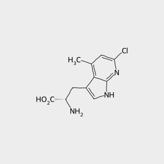 Cc1cc(Cl)nc2[nH]cc(C[C@H](N)C(=O)O)c12